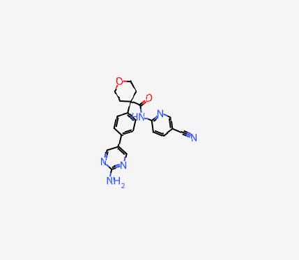 N#Cc1ccc(NC(=O)C2(c3ccc(-c4cnc(N)nc4)cc3)CCOCC2)nc1